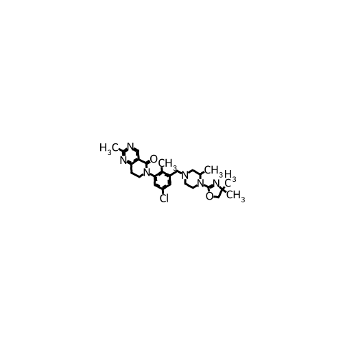 Cc1ncc2c(n1)CCN(c1cc(Cl)cc(CN3CCN(C4=NC(C)(C)CO4)C(C)C3)c1C)C2=O